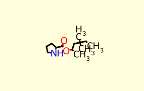 CCC(C)(C)CC(C)OC(=O)C1CCCN1